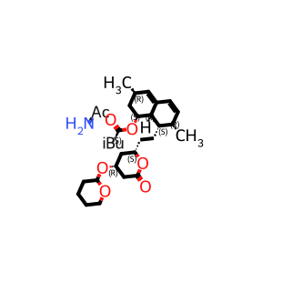 CC(N)=O.CC[C@H](C)C(=O)O[C@H]1C[C@@H](C)C=C2C=C[C@H](C)[C@H](CC[C@H]3C[C@@H](OC4CCCCO4)CC(=O)O3)[C@H]21